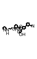 N#Cc1cccc(-c2ccc(C(CC(=O)O)NC(=O)c3cccc(OCCCNc4ccccn4)c3)cc2)c1